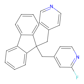 Fc1cc(CC2(Cc3ccncc3)c3ccccc3-c3ccccc32)ccn1